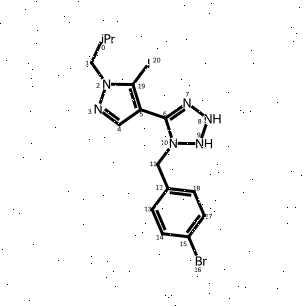 CC(C)Cn1ncc(C2=NNNN2Cc2ccc(Br)cc2)c1I